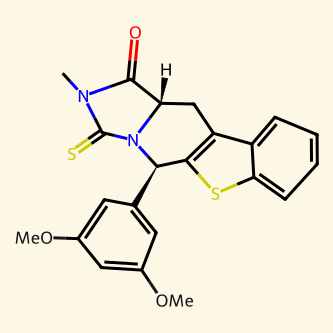 COc1cc(OC)cc([C@@H]2c3sc4ccccc4c3C[C@H]3C(=O)N(C)C(=S)N23)c1